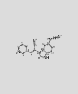 N#C/C(=C\c1cccnc1)c1c[nH]c2ccc(N=[N+]=[N-])cc12